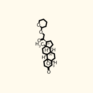 C[C@]12CCC(=O)C[C@@H]1CC[C@@H]1[C@@H]2CC[C@]2(C)[C@@H](C(=O)COC3CCCCO3)CC[C@@H]12